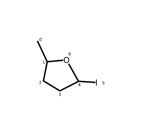 CC1CCC(I)O1